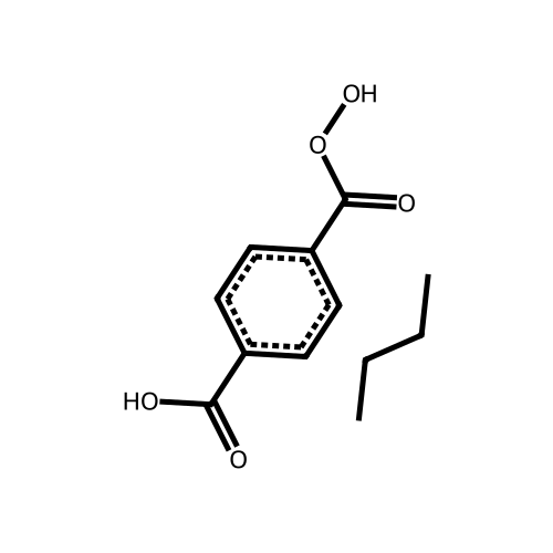 CCCC.O=C(O)c1ccc(C(=O)OO)cc1